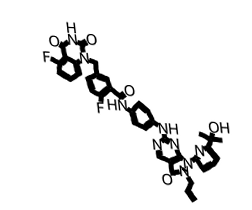 C=CCn1c(=O)c2cnc(Nc3ccc(NC(=O)c4cc(Cn5c(=O)[nH]c(=O)c6c(F)cccc65)ccc4F)cc3)nc2n1-c1cccc(C(C)(C)O)n1